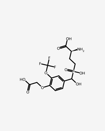 N[C@@H](CCP(=O)(O)C(O)c1ccc(OCC(=O)O)c(OC(F)(F)F)c1)C(=O)O